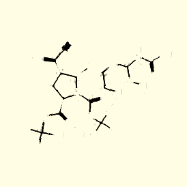 C#CC(=O)[C@@H]1C[C@H](C(=O)OC(C)(C)C)N(C(=O)OC(C)(C)C)[C@@H]1C[C@@H](CC)OC(NC(C)=O)OC